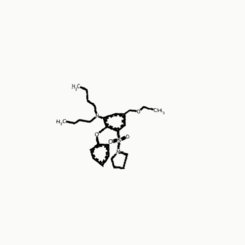 CCCCN(CCCC)c1cc(COCC)cc(S(=O)(=O)N2CCCC2)c1Oc1ccccc1